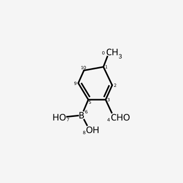 CC1C=C(C=O)C(B(O)O)=CC1